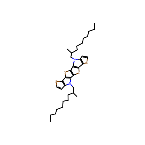 CCCCCCCCC(C)Cn1c2ccsc2c2sc3c(sc4c5sccc5n(CC(C)CCCCCCCC)c43)c21